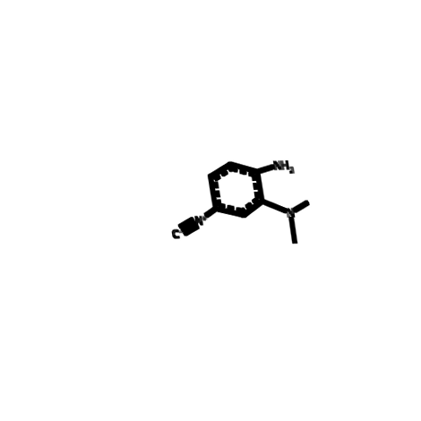 [C-]#[N+]c1ccc(N)c(N(C)C)c1